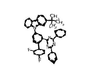 CC(C)(C)c1ccc2c3ccccc3n(-c3ccc(-c4ccc(F)cc4F)c(-c4nc(-c5ccccc5)nc(-c5ccccc5)n4)c3)c2c1